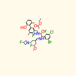 CCOC(=O)C[C@H](NC(=O)C(N/C=C(/CCN1CC(F)C1)CC(F)OC)c1cc(Br)cc(Cl)c1F)c1cc(-c2c(C)cccc2O)cc(C)c1F